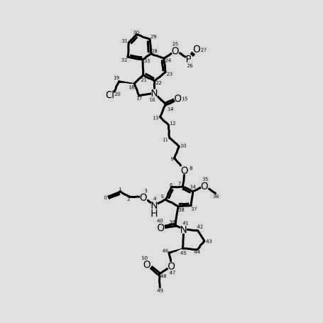 C=CCONc1cc(OCCCCCC(=O)N2C[C@@H](CCl)c3c2cc(OP=O)c2ccccc32)c(OC)cc1C(=O)N1CCC[C@H]1COC(C)=O